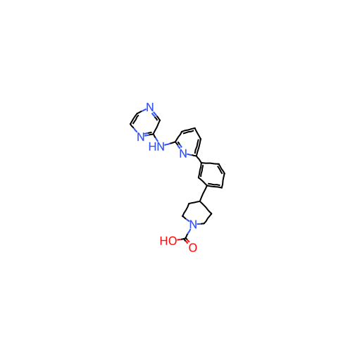 O=C(O)N1CCC(c2cccc(-c3cccc(Nc4cnccn4)n3)c2)CC1